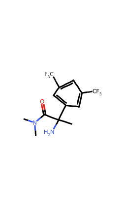 CN(C)C(=O)C(C)(N)c1cc(C(F)(F)F)cc(C(F)(F)F)c1